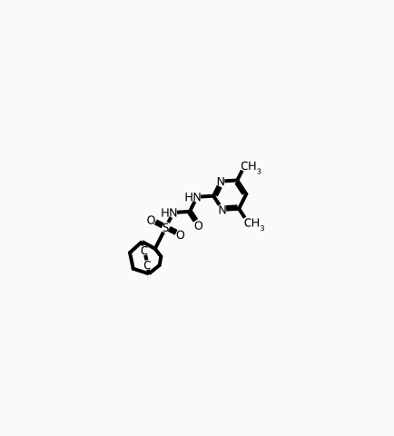 Cc1cc(C)nc(NC(=O)NS(=O)(=O)C2CCC3CCC2CC3)n1